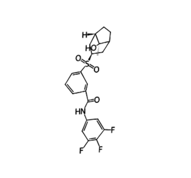 C[C@@]1(O)C2CC[C@H]1C[C@H](S(=O)(=O)c1cccc(C(=O)Nc3cc(F)c(F)c(F)c3)c1)C2